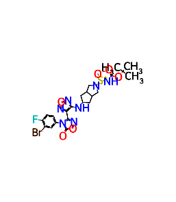 CC(C)(C)OC(=O)N[S+]([O-])N1CC2CC(Nc3nonc3-c3noc(=O)n3-c3ccc(F)c(Br)c3)CC2C1